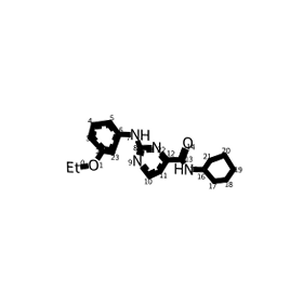 CCOc1cccc(Nc2nccc(C(=O)NC3CCCCC3)n2)c1